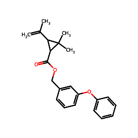 C=C(C)C1C(C(=O)OCc2cccc(Oc3ccccc3)c2)C1(C)C